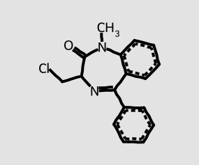 CN1C(=O)C(CCl)N=C(c2ccccc2)c2ccccc21